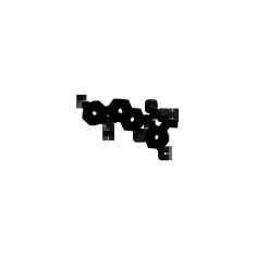 CCc1cc(Cl)ccc1N(C(=O)O)c1cc2ccc3c4cc(F)ccc4[nH]c3c2cc1O